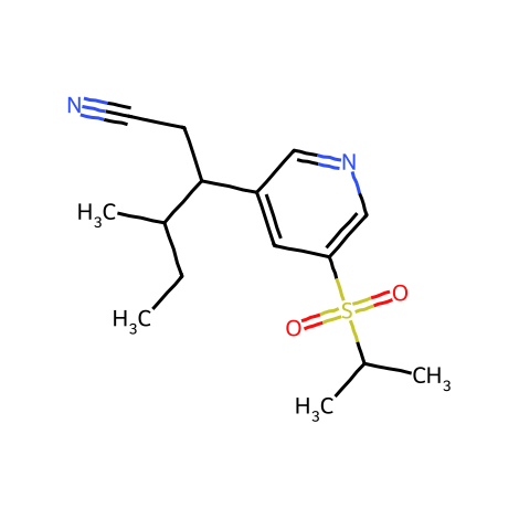 CCC(C)C(CC#N)c1cncc(S(=O)(=O)C(C)C)c1